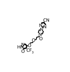 N#Cc1cnc(N2CCN(C(=O)CCOCCOc3cn[nH]c(=O)c3C(F)(F)F)CC2)nc1